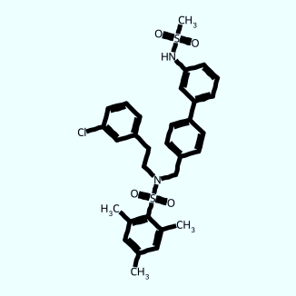 Cc1cc(C)c(S(=O)(=O)N(CCc2cccc(Cl)c2)Cc2ccc(-c3cccc(NS(C)(=O)=O)c3)cc2)c(C)c1